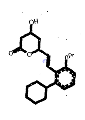 CCCc1cccc(C2CCCCC2)c1/C=C/C1CC(O)CC(=O)O1